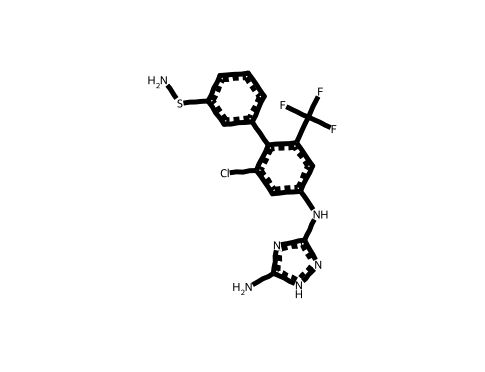 NSc1cccc(-c2c(Cl)cc(Nc3n[nH]c(N)n3)cc2C(F)(F)F)c1